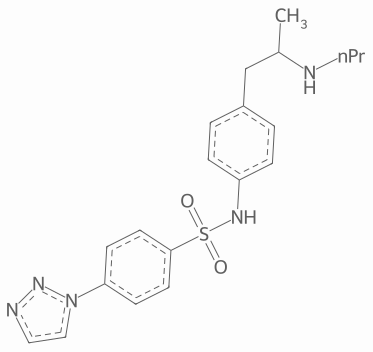 CCCNC(C)Cc1ccc(NS(=O)(=O)c2ccc(-n3ccnn3)cc2)cc1